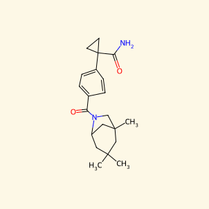 CC1(C)CC2CC(C)(CN2C(=O)c2ccc(C3(C(N)=O)CC3)cc2)C1